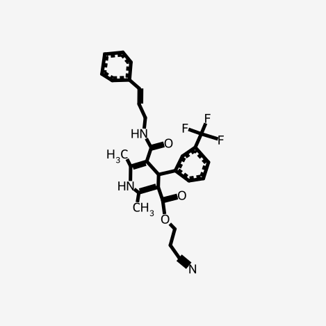 CC1=C(C(=O)NCC=Cc2ccccc2)C(c2cccc(C(F)(F)F)c2)C(C(=O)OCCC#N)=C(C)N1